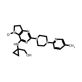 Cc1ccc(N2CCN(c3nc4c(c(NC5(CO)CC5)n3)[S+]([O-])CC4)CC2)nc1